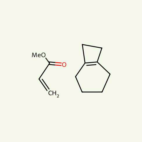 C1CCC2=C(C1)CC2.C=CC(=O)OC